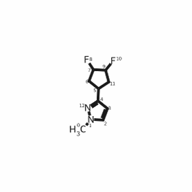 Cn1ccc(C2CC(F)C(F)C2)n1